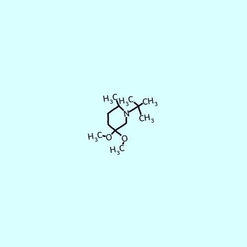 COC1(OC)CCC(C)N(C(C)(C)C)C1